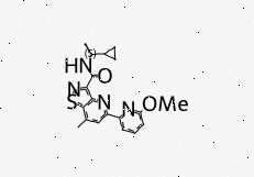 COc1cccc(-c2cc(C)c3snc(C(=O)N[C@@H](C)C4CC4)c3n2)n1